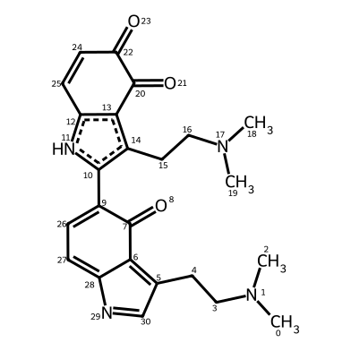 CN(C)CCC1=C2C(=O)C(c3[nH]c4c(c3CCN(C)C)C(=O)C(=O)C=C4)=CC=C2N=C1